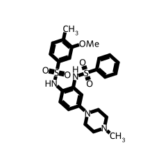 COc1cc(S(=O)(=O)Nc2ccc(N3CCN(C)CC3)cc2NS(=O)(=O)c2ccccc2)ccc1C